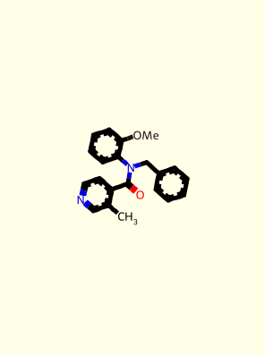 COc1ccccc1N(Cc1ccccc1)C(=O)c1ccncc1C